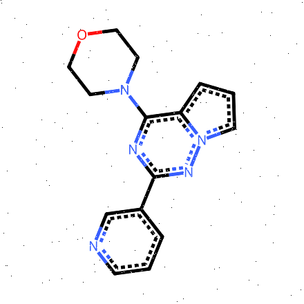 c1cncc(-c2nc(N3CCOCC3)c3cccn3n2)c1